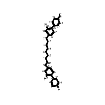 Fc1ccc(-c2ccc(CCCCCCCCCc3ccc(-c4ccc(F)cc4)c(F)c3)cc2F)cc1